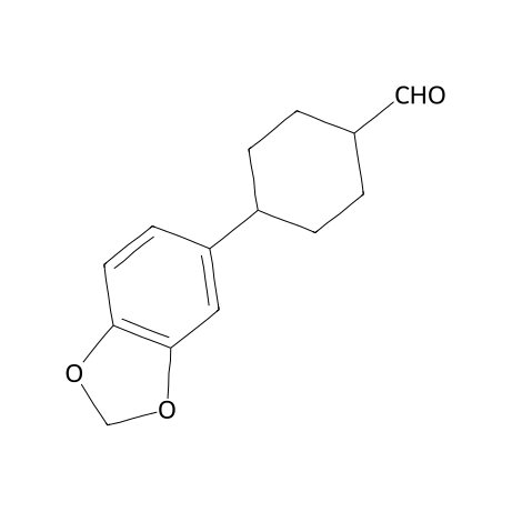 O=CC1CCC(c2ccc3c(c2)OCO3)CC1